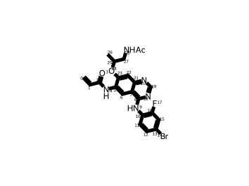 C=CC(=O)Nc1cc2c(Nc3ccc(Br)cc3F)ncnc2cc1OC(C)CNC(C)=O